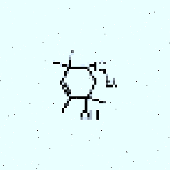 CC1=CC(C)(C)CCC1(C)O.CCO